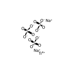 O=S(=O)([O-])[O-].O=S(=O)([O-])[O-].O=S(=O)([O-])[O-].[Na+].[Na+].[Ti+4]